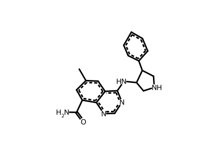 Cc1cc(C(N)=O)c2ncnc(NC3CNCC3c3ccccc3)c2c1